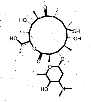 C[C@H]1[C@H](O[C@H]2CC(N(C)C)C(O)[C@@H](C)O2)[C@@H](C)C(=O)OC([C@H](C)O)[C@H](C)[C@H](O)[C@@H](C)C(=O)[C@H](C)C[C@@](C)(O)[C@@H]1O